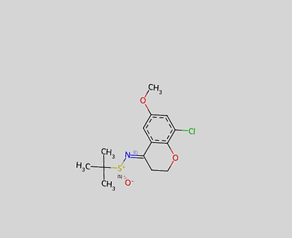 COc1cc(Cl)c2c(c1)/C(=N/[S@+]([O-])C(C)(C)C)CCO2